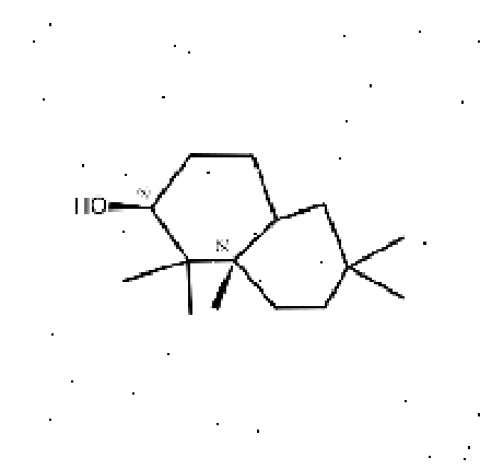 CC1(C)CC[C@@]2(C)C(CC[C@H](O)C2(C)C)C1